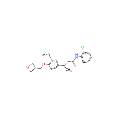 COc1cc(C(C)CC(=O)Nc2ccccc2Cl)ccc1OCC1COC1